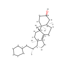 C[C@H](CC1CCCCC1)[C@H]1CCC2=C3CC[C@]4(C)CC(=O)CC[C@]4(C)[C@H]3CC[C@@]21C